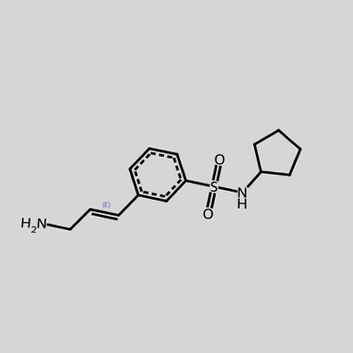 NC/C=C/c1cccc(S(=O)(=O)NC2CCCC2)c1